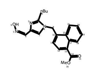 CCCCc1nc(/C=N\O)cn1Cc1ccc(C(=O)OC)c2ccccc12